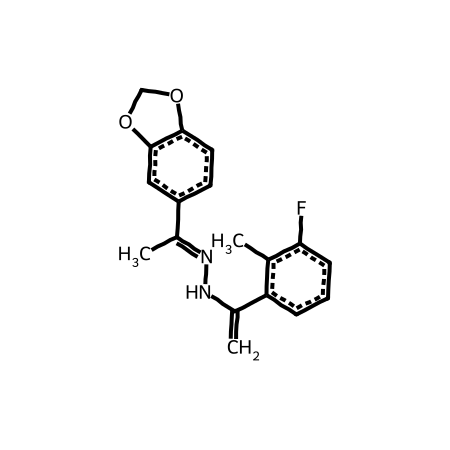 C=C(N/N=C(\C)c1ccc2c(c1)OCO2)c1cccc(F)c1C